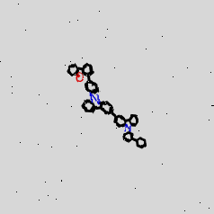 C1=Cc2c(oc3c(-c4ccc(-n5c6ccccc6c6cc(-c7ccc8c(c7)c7ccccc7n8-c7cccc(-c8ccccc8)c7)ccc65)cc4)cccc23)CC1